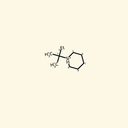 CCC(C)(C)[SiH]1CCCCC1